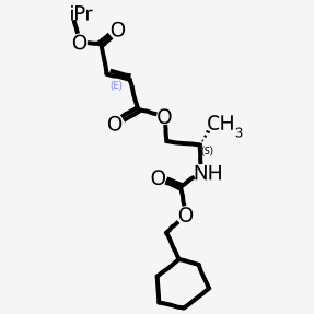 CC(C)OC(=O)/C=C/C(=O)OC[C@H](C)NC(=O)OCC1CCCCC1